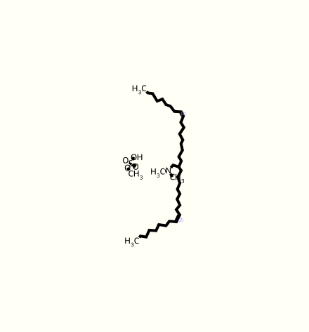 CCCCCCCC/C=C\CCCCCCCCC(CCCCCCCC/C=C\CCCCCCCC)CN(C)C.COS(=O)(=O)O